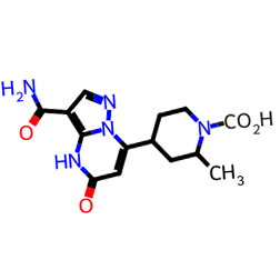 CC1CC(c2cc(=O)[nH]c3c(C(N)=O)cnn23)CCN1C(=O)O